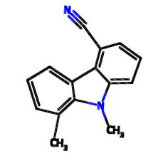 Cc1cccc2c3c(C#N)cccc3n(C)c12